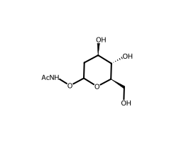 CC(=O)NOC1C[C@@H](O)[C@H](O)[C@@H](CO)O1